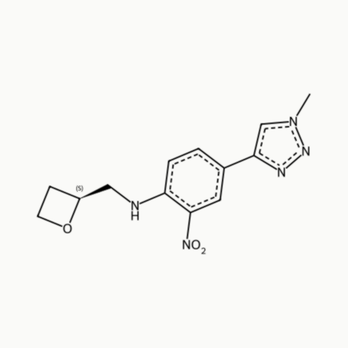 Cn1cc(-c2ccc(NC[C@@H]3CCO3)c([N+](=O)[O-])c2)nn1